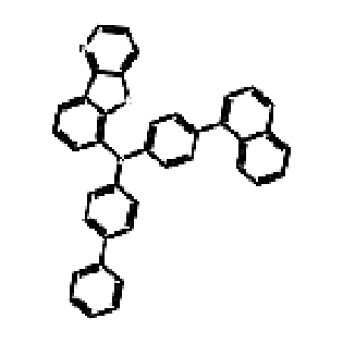 c1ccc(-c2ccc(N(c3ccc(-c4cccc5ccccc45)cc3)c3cccc4c3oc3cccnc34)cc2)cc1